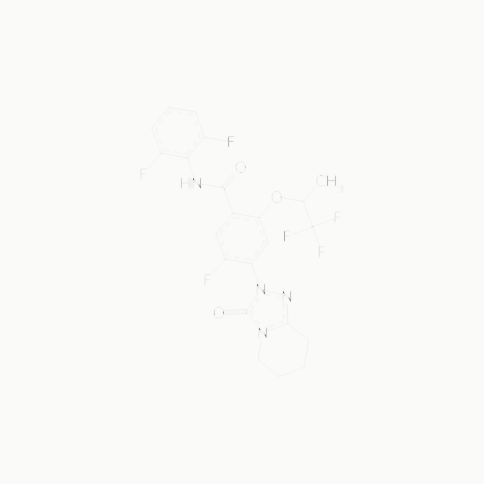 CC(Oc1cc(-n2nc3n(c2=O)CCCC3)c(F)cc1C(=O)Nc1c(F)cccc1F)C(F)(F)F